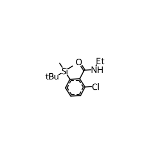 CCNC(=O)c1c(Cl)cccc1[Si](C)(C)C(C)(C)C